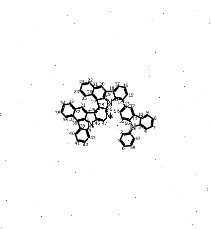 c1ccc(-n2c3ccccc3c3cc(-c4cccc5c6cc7ccccc7c7c8c9c%10cc%11ccccc%11c%11c%12ccccc%12n(c9cnc8n(c45)c67)c%10%11)ccc32)cc1